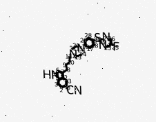 N#Cc1ccc2[nH]cc(CCCCN3CCN(c4ccc(Sc5ncc(F)cn5)cc4)CC3)c2c1